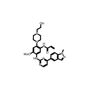 C=CC(=O)Nc1cc(Nc2nccc(-c3ccc4c(cnn4C)c3)n2)c(OC)cc1N1CCN(CCO)CC1